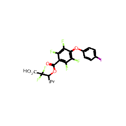 CC(C)C(OC(=O)c1c(F)c(F)c(Oc2ccc(I)cc2)c(F)c1F)C(F)(F)C(=O)O